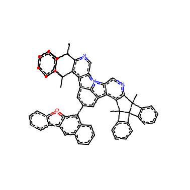 CC12c3ccccc3C(C)(c3ccccc31)c1c2ncc2c1c1cc(-c3c4ccccc4cc4c3oc3ccccc34)cc3c4c5c(ncc4n2c13)C1(C)c2ccccc2C12c1ccccc1C52C